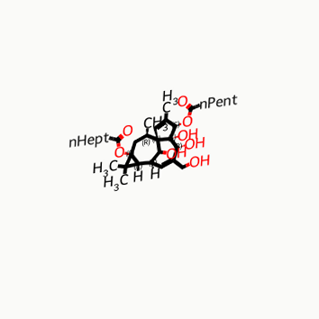 CCCCCCCC(=O)O[C@@]12C[C@@H](C)[C@]34C=C(C)[C@H](OC(=O)CCCCC)[C@@]3(O)[C@H](O)C(CO)=C[C@H](C4O)[C@@H]1C2(C)C